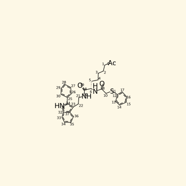 CC(=O)CCCCC[C@H](NC(=O)CSc1ccccc1)C(=O)NCCc1c(-c2ccccc2)[nH]c2ccccc12